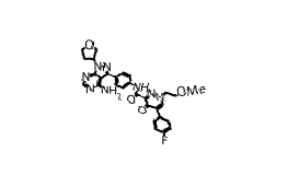 COCCn1cc(-c2ccc(F)cc2)c(=O)c(C(=O)Nc2ccc(-c3nn(C4CCOC4)c4ncnc(N)c34)cc2)n1